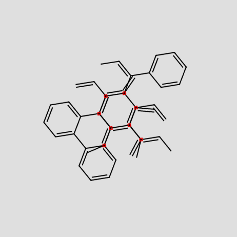 C=C/C=C(C(=C/C)\c1ccccc1)/C(C=C)=C(C=C)\C(=C\C)C(=C/C=C)\c1ccccc1-c1ccccc1/C(C=C)=C(C=C)\C(C)=C\C